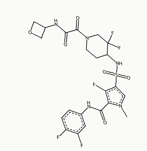 Cn1cc(S(=O)(=O)NC2CCN(C(=O)C(=O)NC3COC3)CC2(F)F)c(F)c1C(=O)Nc1ccc(F)c(F)c1